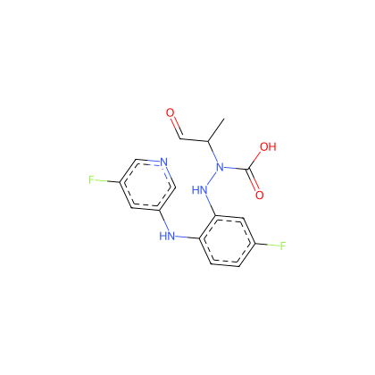 CC(C=O)N(Nc1cc(F)ccc1Nc1cncc(F)c1)C(=O)O